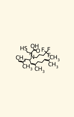 CC=C(C)CC(C=C(C)CCC=C(C)C)N(CCCC(F)(F)F)[C@@H](CS)C(=O)O